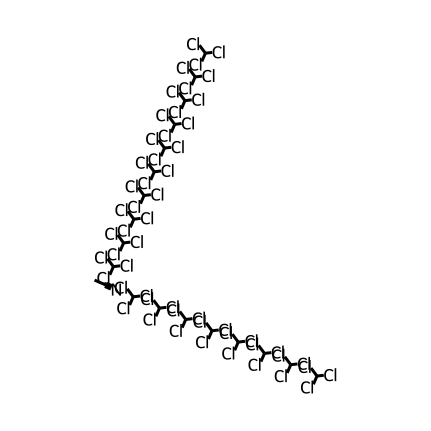 CC#N.ClC(Cl)Cl.ClC(Cl)Cl.ClC(Cl)Cl.ClC(Cl)Cl.ClC(Cl)Cl.ClC(Cl)Cl.ClC(Cl)Cl.ClC(Cl)Cl.ClC(Cl)Cl.ClC(Cl)Cl.ClC(Cl)Cl.ClC(Cl)Cl.ClC(Cl)Cl.ClC(Cl)Cl.ClC(Cl)Cl.ClC(Cl)Cl.ClC(Cl)Cl.ClC(Cl)Cl